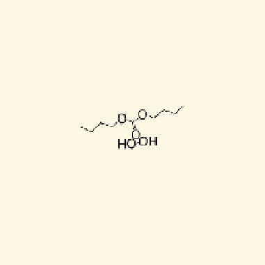 CCCCOC(=O)OCCCC.OO